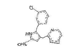 O=Cc1cc(-c2ccccn2)c(-c2cccc(Cl)c2)[nH]1